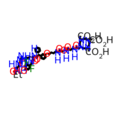 CCC(=O)NCCNC(=O)/N=C(/N)NCCC[C@@H](NC(=O)[C@H](c1ccccc1)c1cccc(OCCCCNC(=O)CONC(=O)CCNC(=O)CN2CCN(CC(=O)O)CCN(CC(=O)O)CCN(CC(=O)O)CC2)c1)C(=O)NCc1c(F)cc(O)cc1F